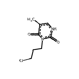 Cc1c[nH]c(=O)n(CCCCl)c1=O